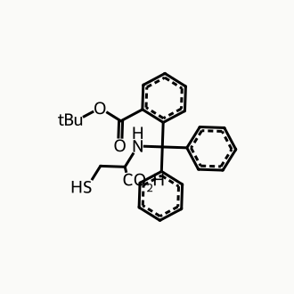 CC(C)(C)OC(=O)c1ccccc1C(NC(CS)C(=O)O)(c1ccccc1)c1ccccc1